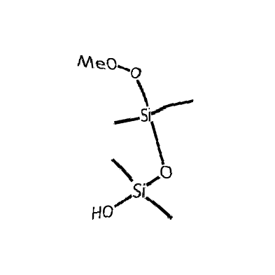 COO[Si](C)(C)O[Si](C)(C)O